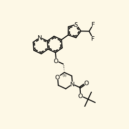 CC(C)(C)OC(=O)N1CCO[C@H](COc2cc(-c3csc(C(F)F)c3)cc3ncccc23)C1